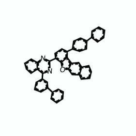 c1ccc(-c2ccc(-c3ccc(-c4nc(-c5cccc(-c6ccccc6)c5)c5ccccc5n4)c4oc5cc6ccccc6cc5c34)cc2)cc1